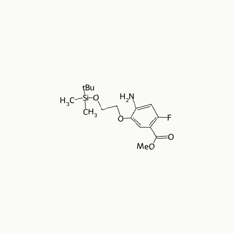 COC(=O)c1cc(OCCO[Si](C)(C)C(C)(C)C)c(N)cc1F